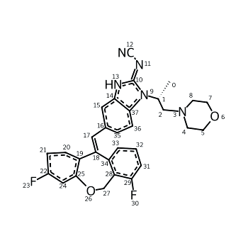 C[C@H](CN1CCOCC1)n1c(=NC#N)[nH]c2cc(C=C3c4ccc(F)cc4OCc4c(F)cccc43)ccc21